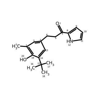 Cc1cc(CCC(=O)c2ccc[nH]2)cc(C(C)(C)C)c1O